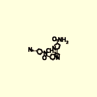 CN(C(=O)c1ccn2ncc(-c3ccc(C(N)=O)cn3)c2c1)c1ccc(C#N)cc1